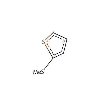 CSc1cc[c]s1